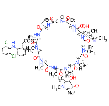 C/C=C/C[C@@H](C)[C@@H](O)[C@H]1C(=O)N[C@@H](CC)C(=O)N(C)CC(=O)N(C)[C@@H](CC(C)C)C(=O)N[C@@H](C(C)C)C(=O)N(C)[C@@H](CC(C)C)C(=O)N[C@@H](C)C(=O)N[C@H](C)C(=O)N(C)[C@@H](CC(C)C)C(=O)N(C)[C@@H](CC(C)C)C(=O)N(C)[C@@H](C(C)C)C(=O)N1C.Cc1c(O)c(=O)ccn1C.O=C([O-])Cc1ccccc1Nc1c(Cl)cccc1Cl.[Na+]